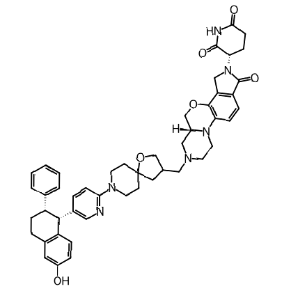 O=C1CC[C@H](N2Cc3c(ccc4c3OC[C@H]3CN(CC5COC6(CCN(c7ccc([C@@H]8c9ccc(O)cc9CC[C@@H]8c8ccccc8)cn7)CC6)C5)CCN43)C2=O)C(=O)N1